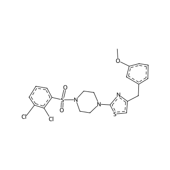 COc1cccc(Cc2csc(N3CCN(S(=O)(=O)c4cccc(Cl)c4Cl)CC3)n2)c1